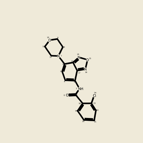 O=C(Nc1ccc(N2CCOCC2)c2nonc12)c1ccccc1Cl